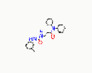 Cc1cccc(NC(=O)NCCC(=O)N(c2ccccc2)c2ccccc2)c1